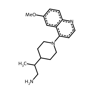 COc1ccc2nccc(N3CCC(C(C)CN)CC3)c2c1